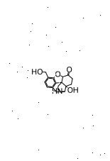 O=C1CCC2(O)C3Cc4ccc(CO)c5c4C2(CCN3)C1O5